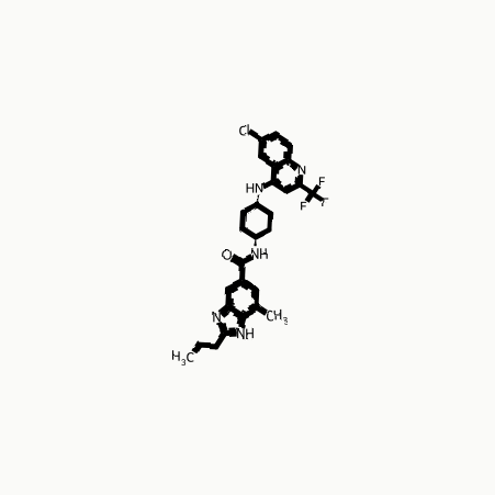 CCCc1nc2cc(C(=O)N[C@H]3CC[C@@H](Nc4cc(C(F)(F)F)nc5ccc(Cl)cc45)CC3)cc(C)c2[nH]1